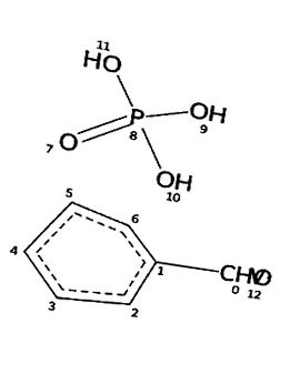 O=Cc1ccccc1.O=P(O)(O)O.[V]